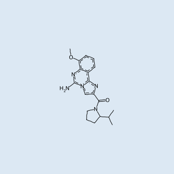 COc1cccc2c1nc(N)n1cc(C(=O)N3CCCC3C(C)C)nc21